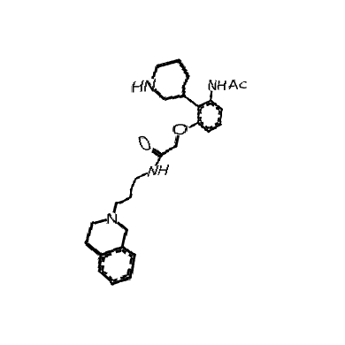 CC(=O)Nc1cccc(OCC(=O)NCCCN2CCc3ccccc3C2)c1C1CCCNC1